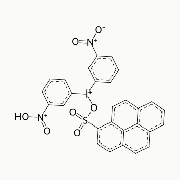 O=[N+]([O-])c1cccc([I+](OS(=O)(=O)c2ccc3ccc4cccc5ccc2c3c45)c2cccc([N+](=O)O)c2)c1